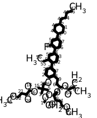 C=COCC(COC(=O)C(=O)CCOC)(COC(=O)C(=O)CCOC)COc1ccc(-c2ccc(-c3ccc(C4CCC(CCCCC)CC4)cc3F)cc2CC)cc1CCCOC(=O)C(=C)C